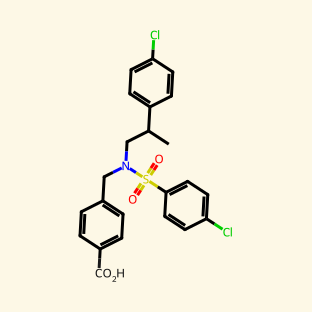 CC(CN(Cc1ccc(C(=O)O)cc1)S(=O)(=O)c1ccc(Cl)cc1)c1ccc(Cl)cc1